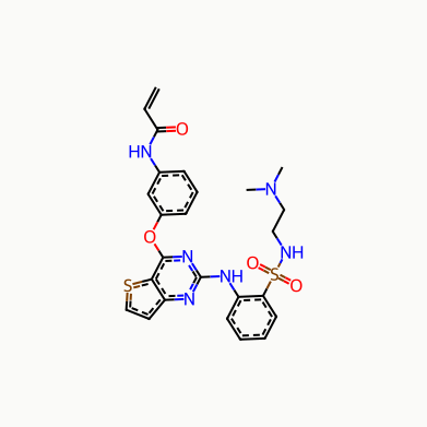 C=CC(=O)Nc1cccc(Oc2nc(Nc3ccccc3S(=O)(=O)NCCN(C)C)nc3ccsc23)c1